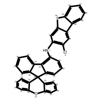 Clc1cc2c(cc1Nc1cccc3c1-c1ccccc1C31c3ccccc3Oc3ccccc31)sc1ccccc12